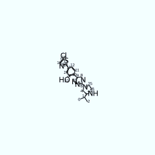 CC(C)C1CN(c2ncc(-c3ccc(-c4ncc(Cl)s4)cc3O)nn2)CCN1